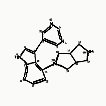 c1ncc(-c2c[nH]c3nccc(N4CC5CNCC5C4)c23)cn1